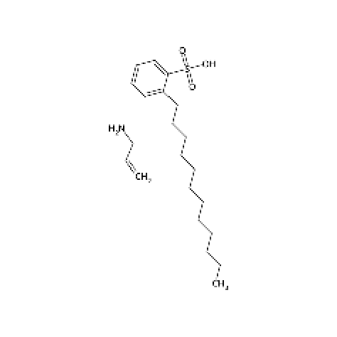 C=CCN.CCCCCCCCCCCCc1ccccc1S(=O)(=O)O